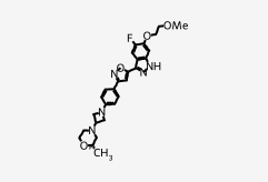 COCCOc1cc2[nH]nc(-c3cc(-c4ccc(N5CC(N6CCO[C@H](C)C6)C5)cc4)no3)c2cc1F